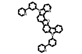 c1ccc(-c2cccc(-n3c4ccccc4c4c5oc6c(ccc7c6c6ncccc6n7-c6cccc(-c7ccccn7)c6)c5ccc43)c2)nc1